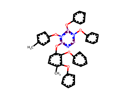 Cc1ccc(On2p(Oc3ccc(C)c(Oc4ccccc4)c3Oc3ccccc3)npn(Oc3ccccc3)p2Oc2ccccc2)cc1